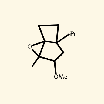 COC1CC2(C(C)C)CCC23OC13C